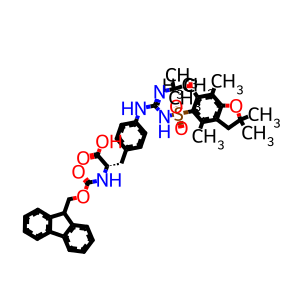 Cc1c(C)c(S(=O)(=O)N/C(=N\C(C)(C)C)Nc2ccc(C[C@H](NC(=O)OCC3c4ccccc4-c4ccccc43)C(=O)O)cc2)c(C)c2c1OC(C)(C)C2